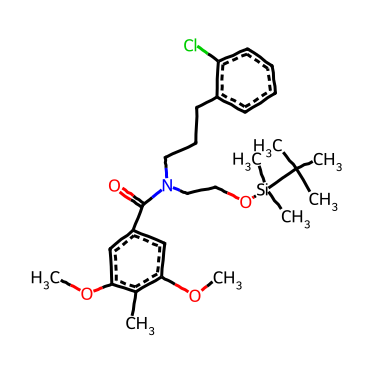 COc1cc(C(=O)N(CCCc2ccccc2Cl)CCO[Si](C)(C)C(C)(C)C)cc(OC)c1C